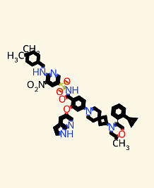 CC1CN(C2CC3(CCN(c4ccc(C(=O)NS(=O)(=O)c5cnc(NCC6CCC(C)(C)CC6)c([N+](=O)[O-])c5)c(Oc5cnc6[nH]ccc6c5)c4)CC3)C2)[C@H](c2ccccc2C2CC2)CO1